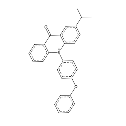 CC(C)c1ccc2c(c1)C(=O)c1ccccc1[SH]2c1ccc(Oc2ccccc2)cc1